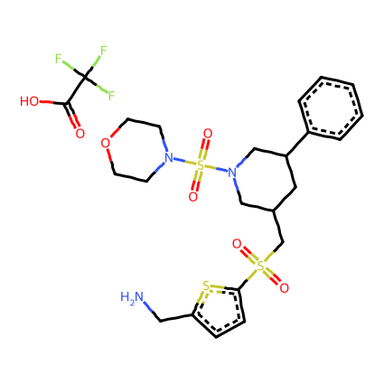 NCc1ccc(S(=O)(=O)CC2CC(c3ccccc3)CN(S(=O)(=O)N3CCOCC3)C2)s1.O=C(O)C(F)(F)F